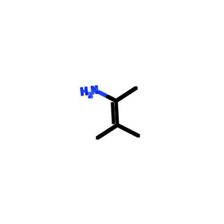 CC(C)=C(C)N